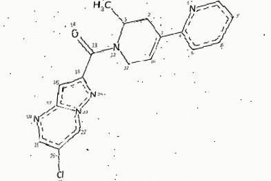 CC1CC(c2ccccn2)=CCN1C(=O)c1cc2ncc(Cl)cn2n1